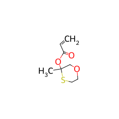 C=CC(=O)OC1(C)COCCS1